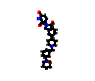 O=C1CCC(N2Cc3cc(C4CCN(Cc5cccc(N6CCCCS6)c5)CC4)ccc3C2=O)C(=O)N1